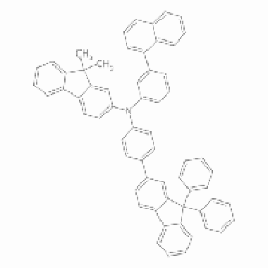 CC1(C)c2ccccc2-c2ccc(N(c3ccc(-c4ccc5c(c4)C(c4ccccc4)(c4ccccc4)c4ccccc4-5)cc3)c3cccc(-c4cccc5ccccc45)c3)cc21